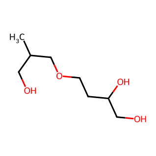 CC(CO)COCCC(O)CO